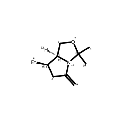 C=C1C[C@@H](CC)[C@H]2COC(C)(C)N12